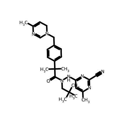 CC1=CCN(Cc2ccc(C(C)(C)C(=O)N(CC(C)(C)C)Nc3cc(C)nc(C#N)n3)cc2)C=N1